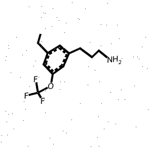 CCc1cc(CCCN)cc(OC(F)(F)F)c1